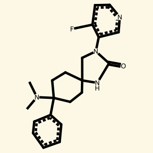 CN(C)C1(c2ccccc2)CCC2(CC1)CN(c1cnccc1F)C(=O)N2